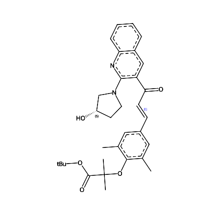 Cc1cc(/C=C/C(=O)c2cc3ccccc3nc2N2CC[C@H](O)C2)cc(C)c1OC(C)(C)C(=O)OC(C)(C)C